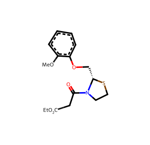 CCOC(=O)CC(=O)N1CCS[C@H]1COc1ccccc1OC